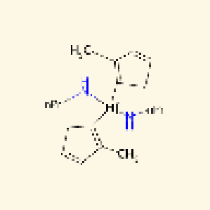 CCC[NH][Hf]([NH]CCC)([C]1=C(C)C=CC1)[C]1=C(C)C=CC1